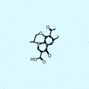 CC(=O)c1c(F)cc2c(=O)c(C(=O)O)cn3c2c1OCC3C